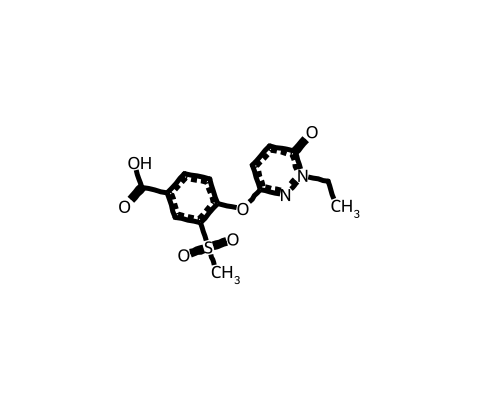 CCn1nc(Oc2ccc(C(=O)O)cc2S(C)(=O)=O)ccc1=O